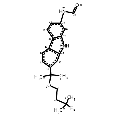 CC(C)(F)CCOC(C)(C)c1ccc2c(c1)[nH]c1cc(NC=O)ccc12